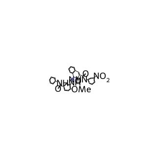 COc1ccc(C(=O)Nc2ccccc2)cc1N/N=C1\C(=O)C(C(=O)Nc2cccc([N+](=O)[O-])c2)=Cc2ccccc21